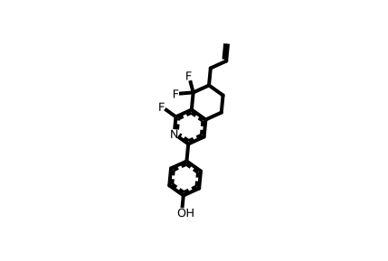 C=CCC1CCc2cc(-c3ccc(O)cc3)nc(F)c2C1(F)F